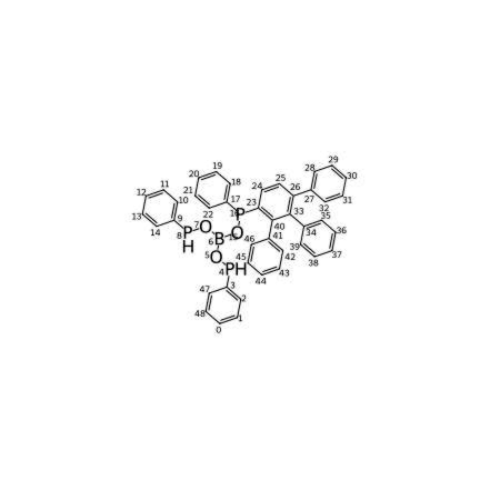 c1ccc(POB(OPc2ccccc2)OP(c2ccccc2)c2ccc(-c3ccccc3)c(-c3ccccc3)c2-c2ccccc2)cc1